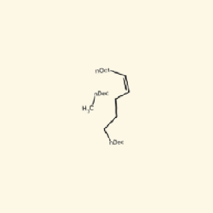 CCCCCCCC/C=C\CCCCCCCCCCCCC.CCCCCCCCCCC